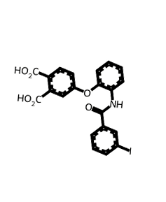 O=C(Nc1ccccc1Oc1ccc(C(=O)O)c(C(=O)O)c1)c1cccc(I)c1